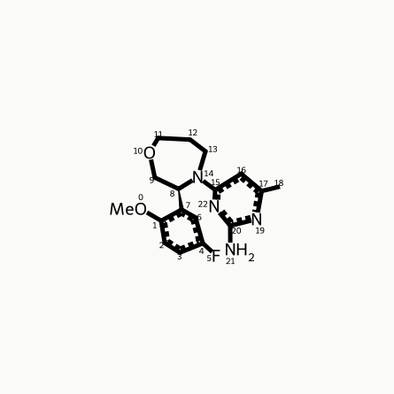 COc1ccc(F)cc1[C@H]1COCCCN1c1cc(C)nc(N)n1